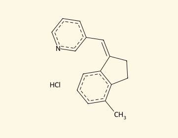 Cc1cccc2c1CC/C2=C/c1cccnc1.Cl